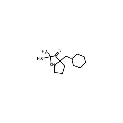 CC(C)(C)C(=O)C1(CN2CCCCC2)CCCC1